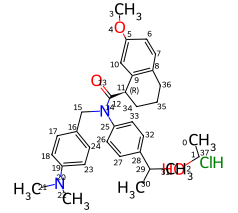 CCO.COc1ccc2c(c1)[C@H](C(=O)N(Cc1ccc(N(C)C)cc1)c1ccc(C(C)C)cc1)CCC2.Cl